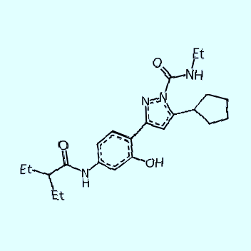 CCNC(=O)n1nc(-c2ccc(NC(=O)C(CC)CC)cc2O)cc1C1CCCC1